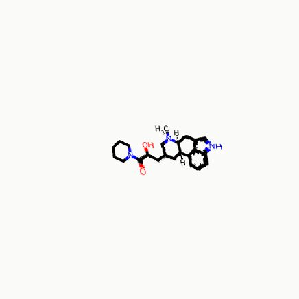 CN1CC(CC(O)C(=O)N2CCCCC2)C[C@H]2c3cccc4[nH]cc(c34)C[C@@H]21